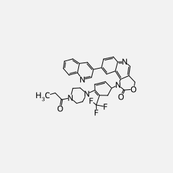 CCC(=O)N1CCN(C2=C(C(F)(F)F)CC(N3C(=O)OCc4cnc5ccc(-c6cnc7ccccc7c6)cc5c43)C=C2)CC1